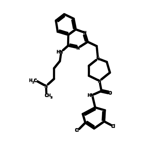 CN(C)CCCNc1nc(CN2CCN(C(=O)Nc3cc(Cl)cc(Cl)c3)CC2)nc2ccccc12